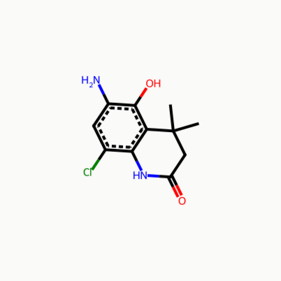 CC1(C)CC(=O)Nc2c(Cl)cc(N)c(O)c21